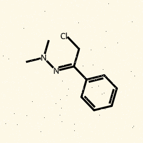 CN(C)N=C(CCl)c1ccccc1